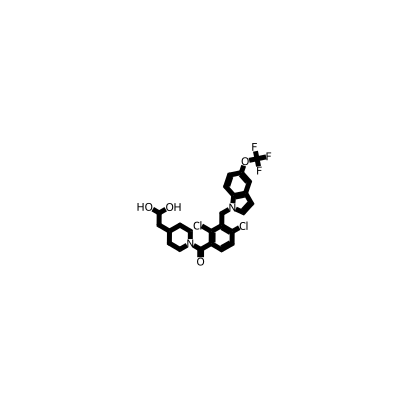 O=C(c1ccc(Cl)c(Cn2ccc3cc(OC(F)(F)F)ccc32)c1Cl)N1CCC(CC(O)O)CC1